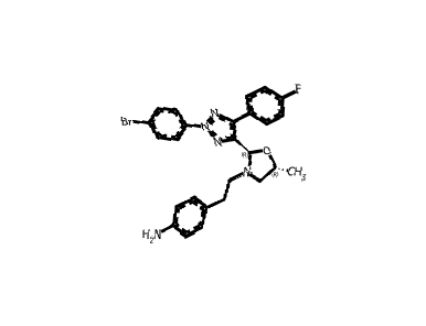 C[C@@H]1CN(CCc2ccc(N)cc2)[C@@H](c2nn(-c3ccc(Br)cc3)nc2-c2ccc(F)cc2)O1